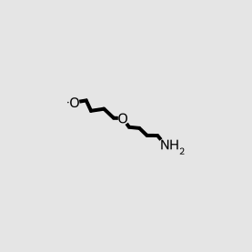 NCCCCOCCCC[O]